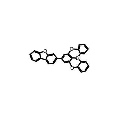 c1ccc2c(c1)Oc1cc(-c3ccc4c(c3)oc3ccccc34)cc3c1B2c1ccccc1O3